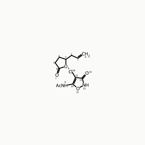 C=CCC1CCC(=O)O1.CC(=O)Nc1o[nH]c(=O)c1Cl